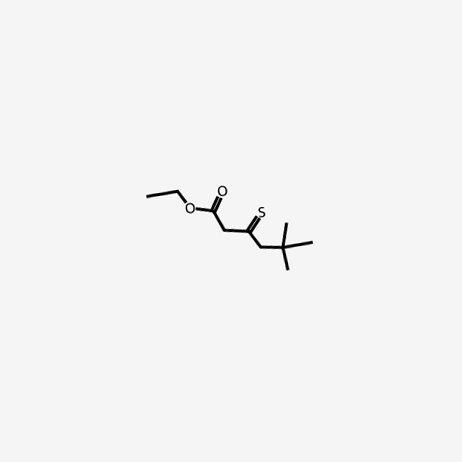 CCOC(=O)CC(=S)CC(C)(C)C